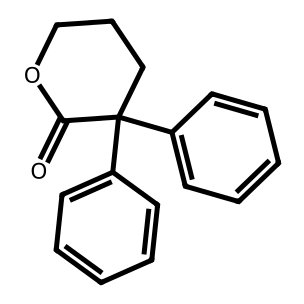 O=C1OCCCC1(c1ccccc1)c1ccccc1